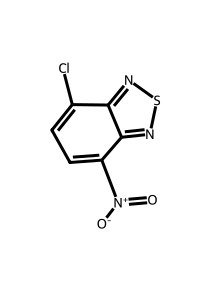 O=[N+]([O-])c1ccc(Cl)c2nsnc12